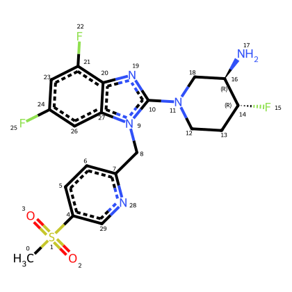 CS(=O)(=O)c1ccc(Cn2c(N3CC[C@@H](F)[C@H](N)C3)nc3c(F)cc(F)cc32)nc1